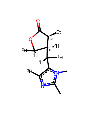 [2H]c1nc(C)n(C)c1C([2H])([2H])[C@]1([2H])[C@H](CC)C(=O)OC1([2H])[2H]